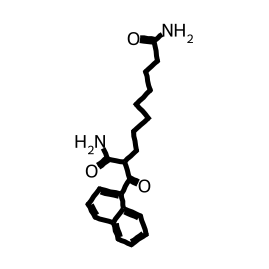 NC(=O)CCCCCCCC(C(N)=O)C(=O)c1cccc2ccccc12